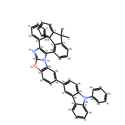 CC1(C)c2ccccc2-c2c(-c3c(-c4ccccc4)nc4oc5ccc(-c6ccc7c(c6)c6ccccc6n7-c6ccccc6)cc5n34)cccc21